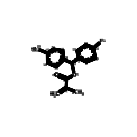 C=C(C)C(=O)OC(c1ccc(F)cc1)c1ccc(C(C)(C)C)cc1